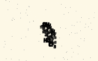 C[C@H]([C@@H](O)C(F)(F)F)[C@H]1CCC2[C@@H]3CC[C@@H]4C[C@@](C)(O)CC[C@]4(C)C3CC[C@@]21C